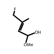 COC(O)/C=C(\C)CF